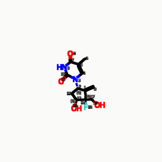 C=C1[C@@H](n2cc(C)c(=O)[nH]c2=O)C[C@H](O)[C@@]1(F)CO